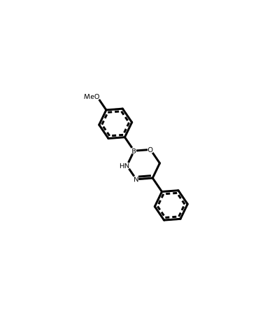 COc1ccc(B2NN=C(c3ccccc3)CO2)cc1